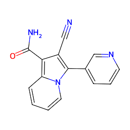 N#Cc1c(C(N)=O)c2ccccn2c1-c1cccnc1